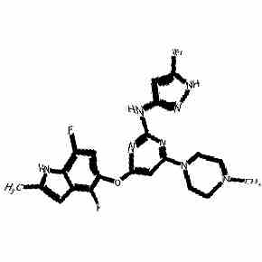 Cc1cc2c(F)c(Oc3cc(N4CCN(C)CC4)nc(Nc4cc(C(C)C)[nH]n4)n3)cc(F)c2[nH]1